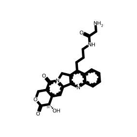 NCC(=O)NCCCc1c2c(nc3ccccc13)-c1cc3c(c(=O)n1C2)COC(=O)[C@H]3O